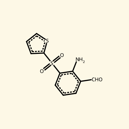 Nc1c(C=O)cccc1S(=O)(=O)c1cccs1